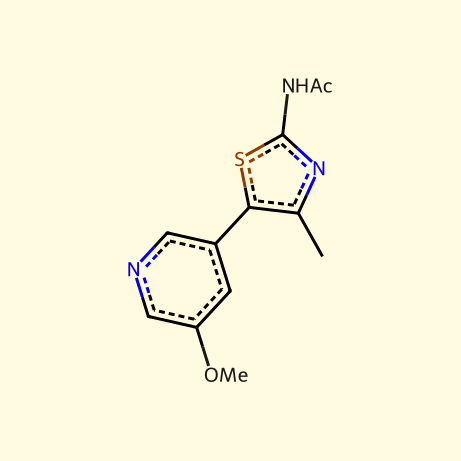 COc1cncc(-c2sc(NC(C)=O)nc2C)c1